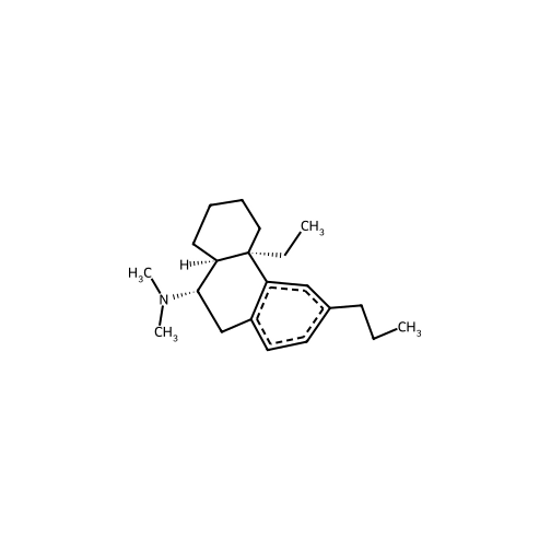 CCCc1ccc2c(c1)[C@]1(CC)CCCC[C@@H]1[C@@H](N(C)C)C2